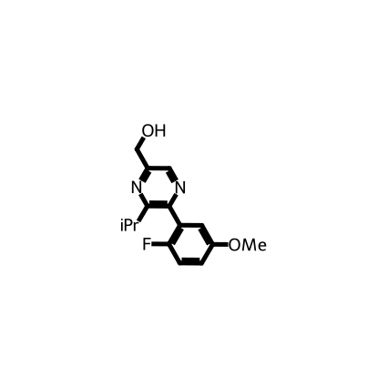 COc1ccc(F)c(-c2ncc(CO)nc2C(C)C)c1